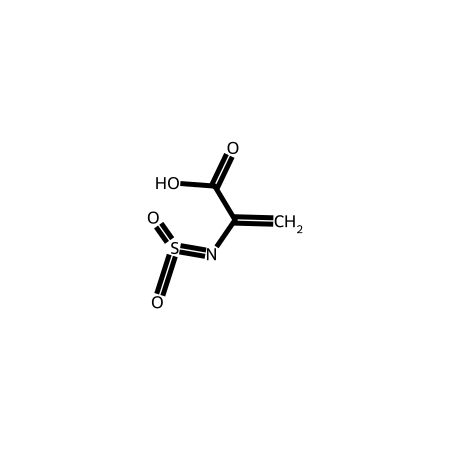 C=C(N=S(=O)=O)C(=O)O